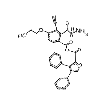 N#Cc1c(OCCO)ccc(C(=O)OC(=O)c2occ(-c3ccccc3)c2-c2ccccc2)c1C(=O)NN